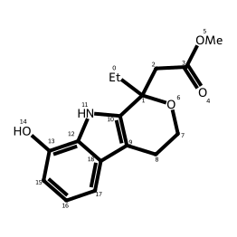 CCC1(CC(=O)OC)OCCc2c1[nH]c1c(O)cccc21